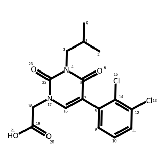 CC(C)Cn1c(=O)c(-c2cccc(Cl)c2Cl)cn(CC(=O)O)c1=O